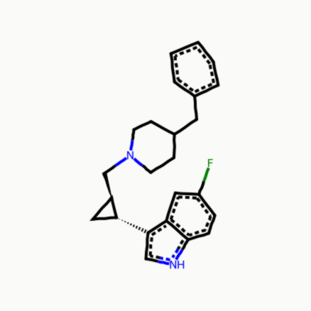 Fc1ccc2[nH]cc([C@@H]3C[C@H]3CN3CCC(Cc4ccccc4)CC3)c2c1